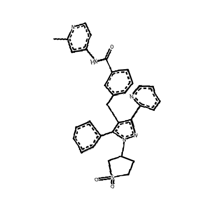 Cc1cc(NC(=O)c2cccc(Cc3c(-c4ccccn4)nn(C4CCS(=O)(=O)C4)c3-c3ccccc3)c2)ccn1